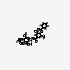 COc1cc(C(=O)NC[C@H]2O[C@H](OC)[C@H](NC(C)=O)[C@@H](O)[C@@H]2O)cc(Cl)c1OC(=O)c1ccccc1